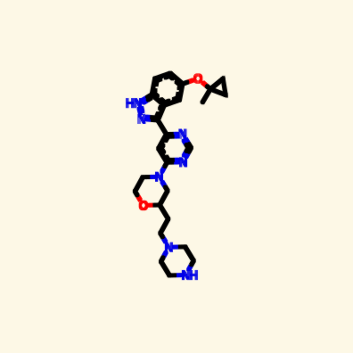 CC1(Oc2ccc3[nH]nc(-c4cc(N5CCOC(CCN6CCNCC6)C5)ncn4)c3c2)CC1